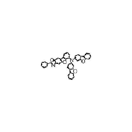 c1ccc(-c2nc3cc4oc5c(N(c6ccc7c(c6)oc6ccccc67)c6ccc7c(c6)oc6ccccc67)cccc5c4cc3o2)cc1